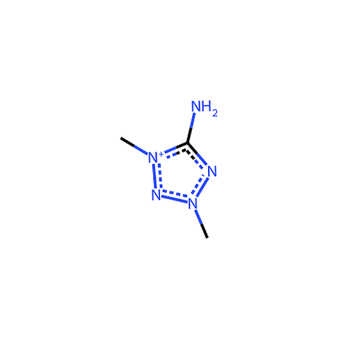 Cn1nc(N)[n+](C)n1